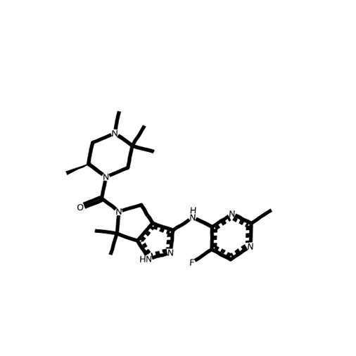 Cc1ncc(F)c(Nc2n[nH]c3c2CN(C(=O)N2CC(C)(C)N(C)C[C@@H]2C)C3(C)C)n1